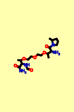 CC(OCCOCCOC(C)C(NC=O)C(N)=O)C(N)C(=O)N1CCCC1C